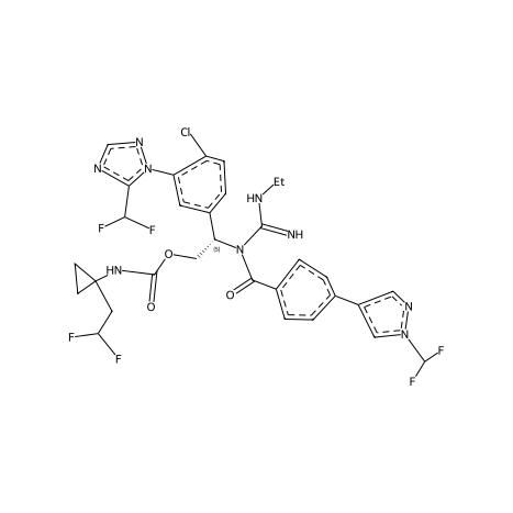 CCNC(=N)N(C(=O)c1ccc(-c2cnn(C(F)F)c2)cc1)[C@H](COC(=O)NC1(CC(F)F)CC1)c1ccc(Cl)c(-n2ncnc2C(F)F)c1